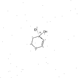 CC[C@]1(O)C=COCC1